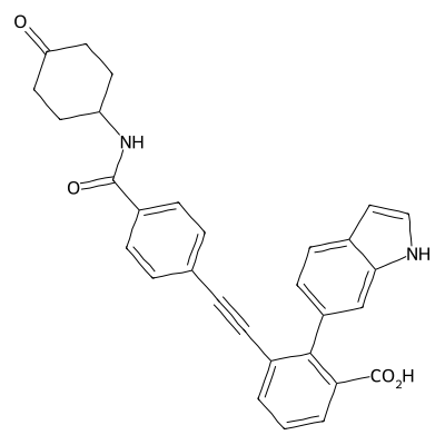 O=C1CCC(NC(=O)c2ccc(C#Cc3cccc(C(=O)O)c3-c3ccc4cc[nH]c4c3)cc2)CC1